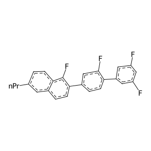 CCCc1ccc2c(F)c(-c3ccc(-c4cc(F)cc(F)c4)c(F)c3)ccc2c1